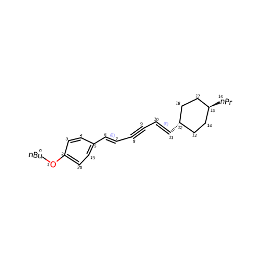 CCCCOc1ccc(/C=C/C#C/C=C/[C@H]2CC[C@H](CCC)CC2)cc1